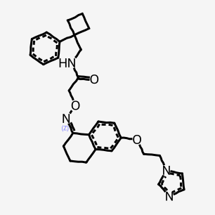 O=C(CO/N=C1/CCCc2cc(OCCn3ccnc3)ccc21)NCC1(c2ccccc2)CCC1